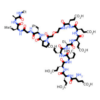 CCNC(=O)[C@H](C)NC(=O)[C@H](CSC)NC(=O)CNC(=O)[C@H](CC(C)C)NC(=O)[C@@H]1CCCN1C(=O)COCCNC(=O)[C@@H](CCC(=O)O)NC(=O)[C@@H](CCC(=O)O)NC(=O)[C@@H](CCC(=O)O)NC(=O)[C@@H](CC)NC(=O)[C@@H](CCC(=O)O)NC(=O)[C@@H](CCC(=O)O)NC(=O)[C@@H](CCC(=O)O)NC(=O)[C@@H](CCC(=O)O)NC(=O)[C@H](N)CCC(=O)O